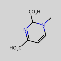 CN1C=CC(C(=O)O)=NC1C(=O)O